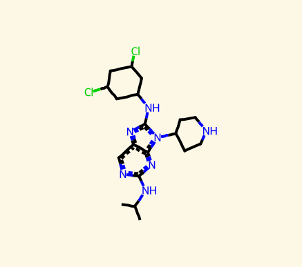 CC(C)Nc1ncc2nc(NC3CC(Cl)CC(Cl)C3)n(C3CCNCC3)c2n1